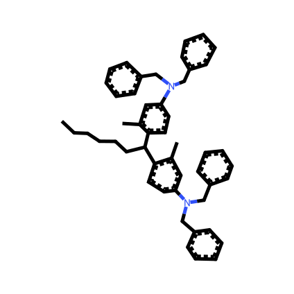 CCCCCCC(c1ccc(N(Cc2ccccc2)Cc2ccccc2)cc1C)c1ccc(N(Cc2ccccc2)Cc2ccccc2)cc1C